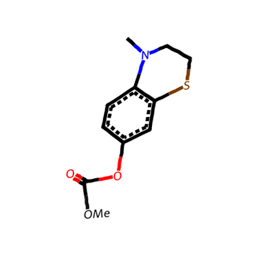 COC(=O)Oc1ccc2c(c1)SCCN2C